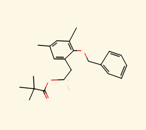 Cc1cc(C)c(OCc2ccccc2)c(C[C@H](C)OC(=O)C(C)(C)C)c1